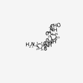 NCc1ccc(S(=O)(=O)NC(=O)Nc2cccc(C(=O)N[CH]C=O)c2)cc1